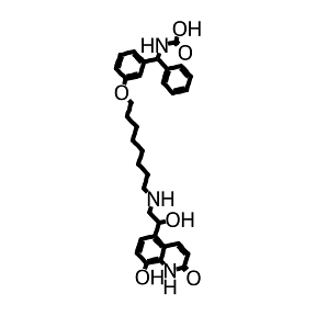 O=C(O)NC(c1ccccc1)c1cccc(OCCCCCCCCNCC(O)c2ccc(O)c3[nH]c(=O)ccc23)c1